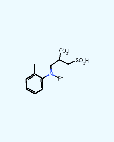 CCN(CC(CS(=O)(=O)O)C(=O)O)c1ccccc1C